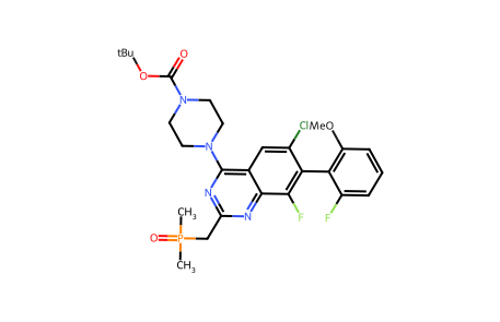 COc1cccc(F)c1-c1c(Cl)cc2c(N3CCN(C(=O)OC(C)(C)C)CC3)nc(CP(C)(C)=O)nc2c1F